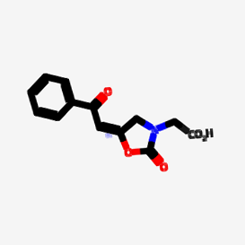 O=C(O)CN1C/C(=C\C(=O)c2ccccc2)OC1=O